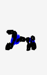 c1ccc(-c2c3ccccc3n3c4ccccc4n(-c4ccc(-c5ccc(-c6nc(-c7ccc8ccccc8c7)nc(-c7ccc8ccccc8c7)n6)cc5)cc4)c23)cc1